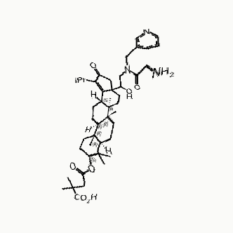 CC(C)C1=C2[C@H]3CC[C@@H]4[C@@]5(C)CC[C@H](OC(=O)CC(C)(C)C(=O)O)C(C)(C)[C@@H]5CC[C@@]4(C)[C@]3(C)CCC2(C(O)CN(Cc2cccnc2)C(=O)CN)CC1=O